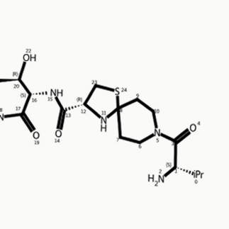 CC(C)[C@H](N)C(=O)N1CCC2(CC1)N[C@H](C(=O)N[C@H](C(N)=O)[C@@H](C)O)CS2